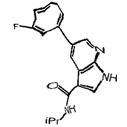 CC(C)NC(=O)c1c[nH]c2ncc(-c3cccc(F)c3)cc12